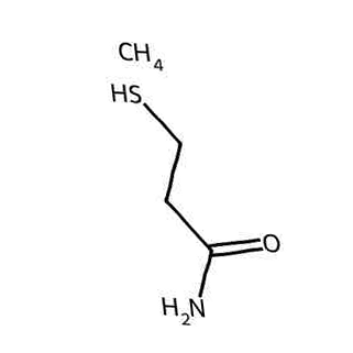 C.NC(=O)CCS